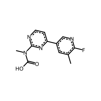 Cc1cc(-c2ccnc(N(C)C(=O)O)n2)cnc1F